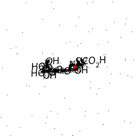 C[C@]1(C(=O)O)CSC(c2ncc(OCCOCCO[C@H]3OC(CO)[C@@H](O)C(O)C3O)cc2O)=N1